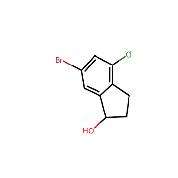 OC1CCc2c(Cl)cc(Br)cc21